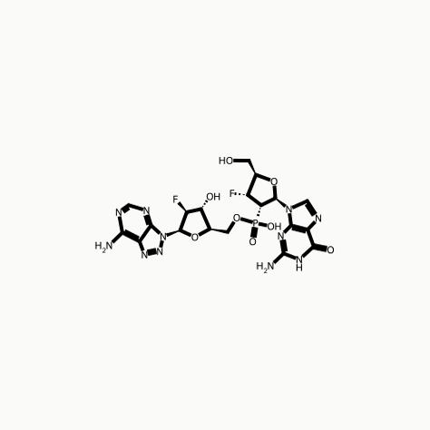 Nc1nc2c(ncn2[C@@H]2O[C@H](CO)[C@@H](F)[C@H]2P(=O)(O)OC[C@H]2O[C@@H](n3nnc4c(N)ncnc43)[C@@H](F)[C@@H]2O)c(=O)[nH]1